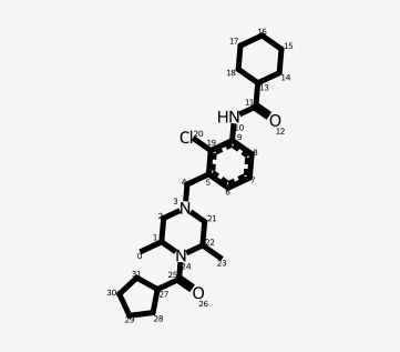 CC1CN(Cc2cccc(NC(=O)C3CCCCC3)c2Cl)CC(C)N1C(=O)C1CCCC1